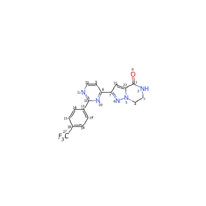 O=C1NCCn2nc(-c3ccnc(-c4ccc(C(F)(F)F)cc4)n3)cc21